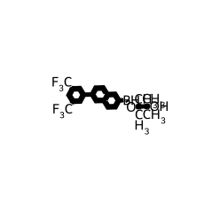 CC(C)(O)C(C)(C)OBc1ccc2cc(-c3cc(C(F)(F)F)cc(C(F)(F)F)c3)ccc2c1